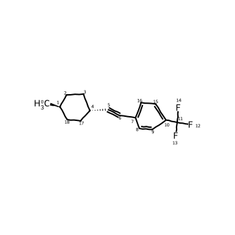 C[C@H]1CC[C@H](C#Cc2ccc(C(F)(F)F)cc2)CC1